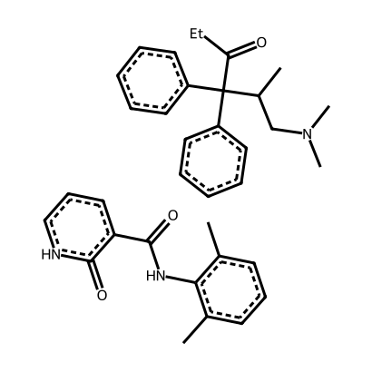 CCC(=O)C(c1ccccc1)(c1ccccc1)C(C)CN(C)C.Cc1cccc(C)c1NC(=O)c1ccc[nH]c1=O